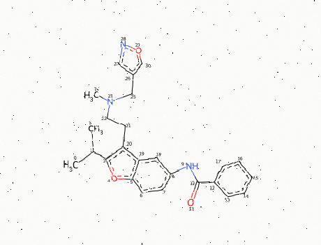 CC(C)c1oc2ccc(NC(=O)c3ccccc3)cc2c1CCN(C)Cc1cnoc1